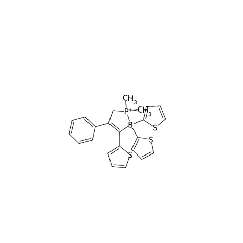 C[P+]1(C)CC(c2ccccc2)=C(c2cccs2)[B-]1(c1cccs1)c1cccs1